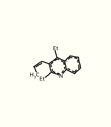 C/C=C\c1c(CC)nc2ccccc2c1CC